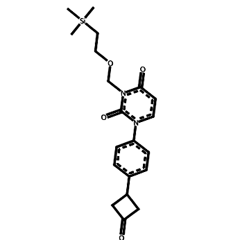 C[Si](C)(C)CCOCn1c(=O)ccn(-c2ccc(C3CC(=O)C3)cc2)c1=O